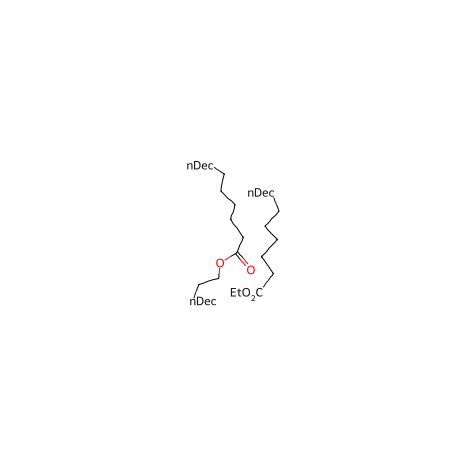 CCCCCCCCCCCCCCCC(=O)OCC.CCCCCCCCCCCCCCCC(=O)OCCCCCCCCCCCC